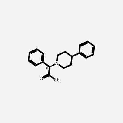 CCC(=O)[C@@H](c1ccccc1)N1CCC(c2ccccc2)CC1